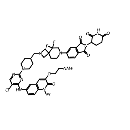 CNCCOc1cc2cc(Nc3nc(N4CCC(CN5CC6(CCN(c7ccc8c(c7)C(=O)N(C7CCC(=O)NC7=O)C8=O)CC6(F)F)C5)CC4)ncc3Cl)ccc2n(C(C)C)c1=O